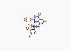 Cc1cc([C@H](C)Nc2ccc(F)cc2S(C)(=O)=O)c2nc(C3CCOCC3)n(C)c(=O)c2c1